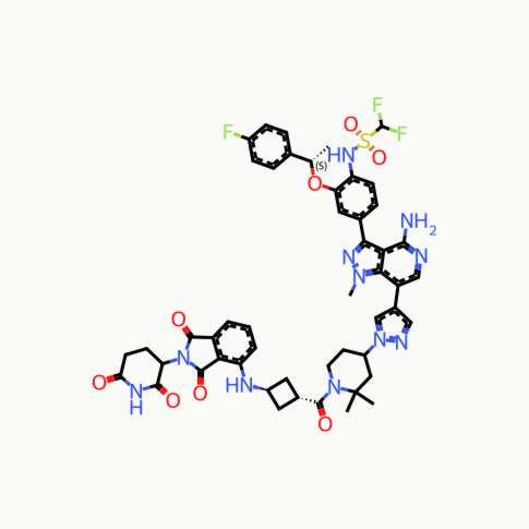 C[C@H](Oc1cc(-c2nn(C)c3c(-c4cnn(C5CCN(C(=O)[C@H]6C[C@H](Nc7cccc8c7C(=O)N(C7CCC(=O)NC7=O)C8=O)C6)C(C)(C)C5)c4)cnc(N)c23)ccc1NS(=O)(=O)C(F)F)c1ccc(F)cc1